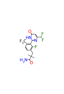 CC(C)(Cc1ccc(C(F)(F)F)c(-c2nc(C(F)F)cc(=O)[nH]2)c1F)C(N)=O